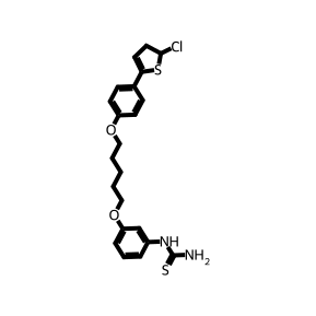 NC(=S)Nc1cccc(OCCCCCOc2ccc(C3=CCC(Cl)S3)cc2)c1